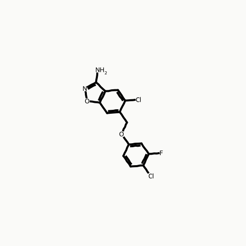 Nc1noc2cc(COc3ccc(Cl)c(F)c3)c(Cl)cc12